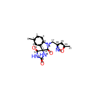 Cc1ccc2c(c1)C1(NC(=O)NC1=O)C(=O)N2Cc1cc(C)on1